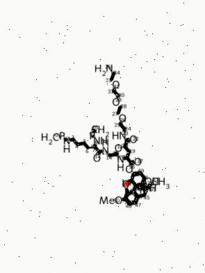 C=PNCCCC[C@@H](NP=C)C(=O)NCC(=O)NC(CCC(=O)NCCOCCOCCOCCN)C(=O)OC1=CC[C@]2(O)[C@@H]3Cc4ccc(OC)c5c4[C@]2(CCN3C)[C@@H]1O5